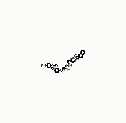 CCN1CCC(NS(=O)(=O)c2cccc(OC[C@@H](O)CNC3C#CC4(CCN(S(=O)(=O)c5ccc6ccccc6c5)CC4)O3)c2)CC1